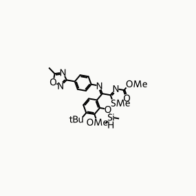 COC(=O)N=C(SC)C(=Nc1ccc(-c2noc(C)n2)cc1)c1ccc(C(C)(C)C)c(OC)c1O[SiH](C)C